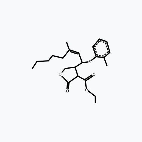 CCCCCC(C)=CC(Sc1ccccc1C)C1COC(=O)C1C(=O)OCC